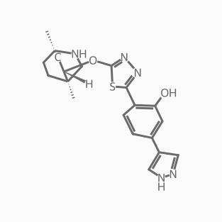 C[C@]12CC[C@](C)(CN1)[C@@H](Oc1nnc(-c3ccc(-c4cn[nH]c4)cc3O)s1)C2